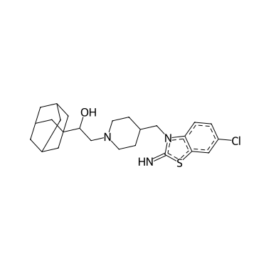 N=c1sc2cc(Cl)ccc2n1CC1CCN(CC(O)C23CC4CC(CC(C4)C2)C3)CC1